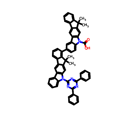 CC1(C)c2ccccc2-c2cc3c4cc(-c5cccc6c5C(C)(C)c5cc7c(cc5-6)c5ccccc5n7-c5nc(-c6ccccc6)nc(-c6ccccc6)n5)ccc4n(C(=O)O)c3cc21